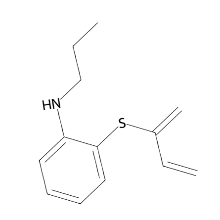 C=CC(=C)Sc1ccccc1NCCC